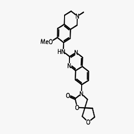 COc1cc2c(cc1Nc1ncc3ccc(N4CC5(CCOC5)OC4=O)cc3n1)CN(C)CC2